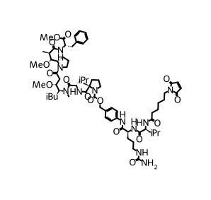 CC[C@H](C)[C@@H]([C@@H](CC(=O)N1CCC[C@H]1[C@H](OC)[C@@H](C)C(=O)N[C@@H](Cc1ccccc1)C(=O)OC)OC)N(C)C(=O)[C@@H](NC(=O)[C@]1(C)CCCN1C(=O)OCc1ccc(NC(=O)[C@H](CCCNC(N)=O)NC(=O)[C@@H](NC(=O)CCCCCN2C(=O)C=CC2=O)C(C)C)cc1)C(C)C